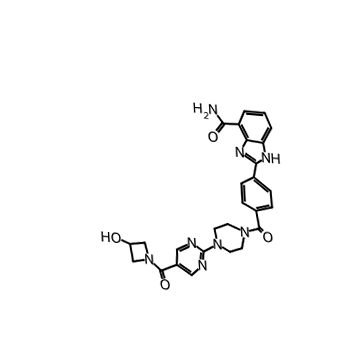 NC(=O)c1cccc2[nH]c(-c3ccc(C(=O)N4CCN(c5ncc(C(=O)N6CC(O)C6)cn5)CC4)cc3)nc12